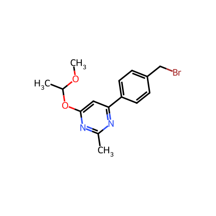 COC(C)Oc1cc(-c2ccc(CBr)cc2)nc(C)n1